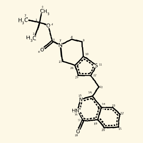 CC(C)(C)OC(=O)N1CCc2sc(Cc3n[nH]c(=O)c4ccccc34)cc2C1